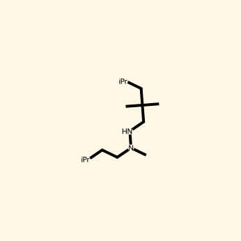 CC(C)CCN(C)NCC(C)(C)CC(C)C